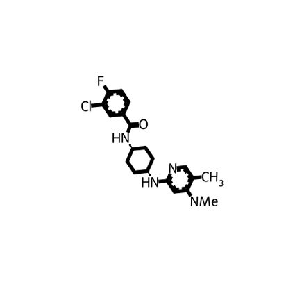 CNc1cc(N[C@H]2CC[C@@H](NC(=O)c3ccc(F)c(Cl)c3)CC2)ncc1C